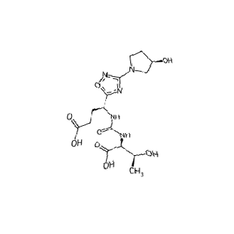 C[C@H](O)[C@H](NC(=O)N[C@@H](CCC(=O)O)c1nc(N2CC[C@@H](O)C2)no1)C(=O)O